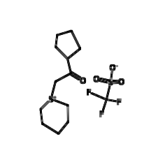 O=C(C[S+]1CCCCC1)C1CCCC1.O=S(=O)([O-])C(F)(F)F